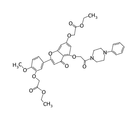 CCOC(=O)COc1cc(OCC(=O)N2CCN(c3ccccc3)CC2)c2c(=O)cc(-c3ccc(OC)c(OCC(=O)OCC)c3)oc2c1